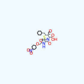 O=C=C1C(Cc2ccccc2)S[C@@H]2C(NC(=O)COc3ccc([N+](=O)[O-])cc3)C(=O)N2C1C(=O)O